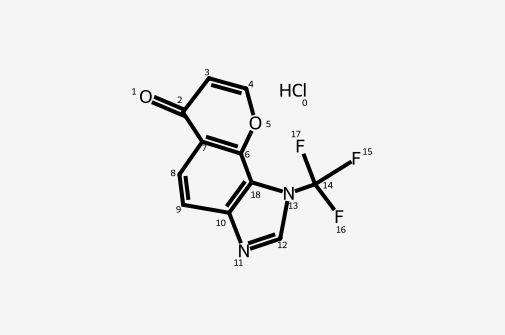 Cl.O=c1ccoc2c1ccc1ncn(C(F)(F)F)c12